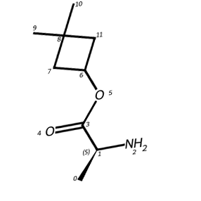 C[C@H](N)C(=O)OC1CC(C)(C)C1